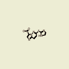 O=[N+]([O-])c1cnc2ccc(Sc3ncc[nH]3)nn12